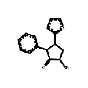 CC(C)C1CC(c2cccs2)C(c2ccccc2)C1=O